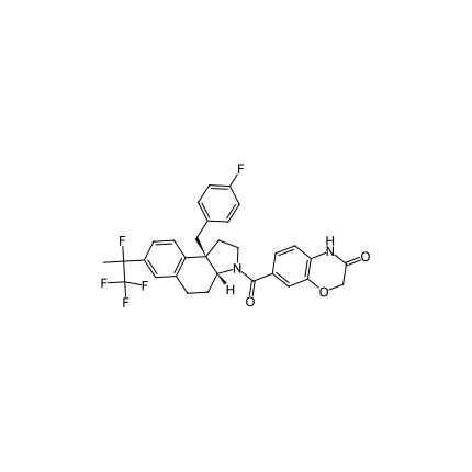 CC(F)(c1ccc2c(c1)CC[C@H]1N(C(=O)c3ccc4c(c3)OCC(=O)N4)CC[C@@]21Cc1ccc(F)cc1)C(F)(F)F